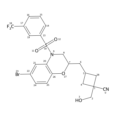 N#CC1(CO)CC(CC2CN(S(=O)(=O)c3cccc(C(F)(F)F)c3)c3cc(Br)ccc3O2)C1